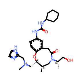 C[C@@H]1CN([C@@H](C)CO)C(=O)Cc2cc(NC(=O)NC3CCCCC3)ccc2O[C@H]1CN(C)Cc1ncc[nH]1